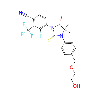 CC1(C)C(=O)N(c2ccc(C#N)c(C(F)(F)F)c2F)C(=S)N1c1ccc(COCCO)cc1